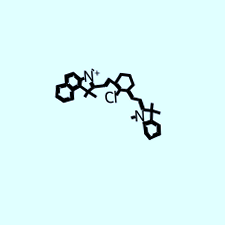 CN1/C(=C\C=C2/CCCC(/C=C/C3=[N+](C)c4ccc5ccccc5c4C3(C)C)=C2Cl)C(C)(C)c2ccccc21